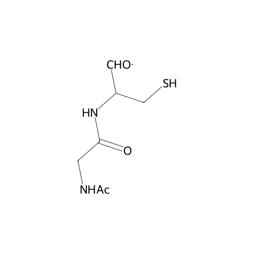 CC(=O)NCC(=O)NC([C]=O)CS